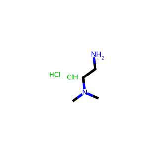 CN(C)CCN.Cl.Cl